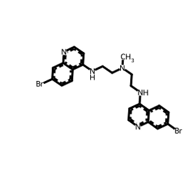 CN(CCNc1ccnc2cc(Br)ccc12)CCNc1ccnc2cc(Br)ccc12